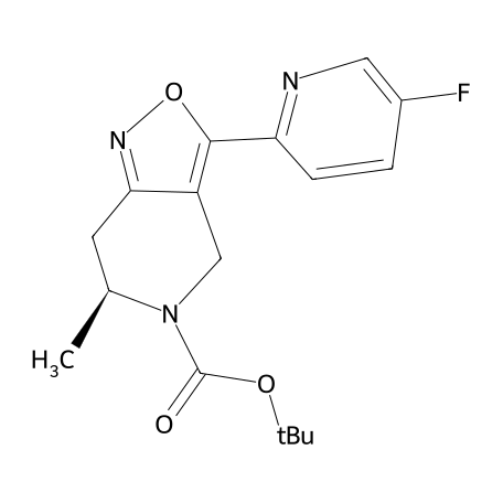 C[C@H]1Cc2noc(-c3ccc(F)cn3)c2CN1C(=O)OC(C)(C)C